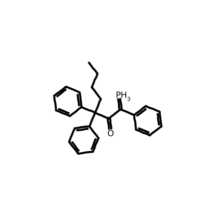 CCCCC(C(=O)C(=[PH3])c1ccccc1)(c1ccccc1)c1ccccc1